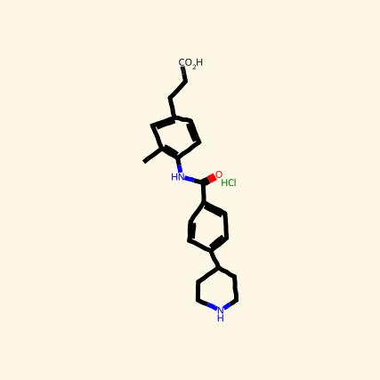 Cc1cc(CCC(=O)O)ccc1NC(=O)c1ccc(C2CCNCC2)cc1.Cl